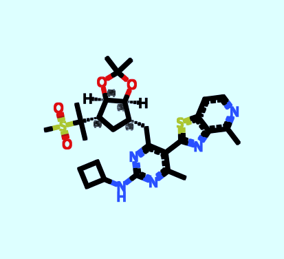 Cc1nc(NC2CCC2)nc(C[C@@H]2C[C@H](C(C)(C)S(C)(=O)=O)[C@H]3OC(C)(C)O[C@@H]23)c1-c1nc2c(C)nccc2s1